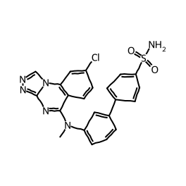 CN(c1cccc(-c2ccc(S(N)(=O)=O)cc2)c1)c1nc2nncn2c2cc(Cl)ccc12